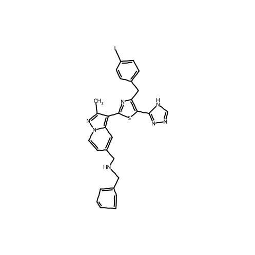 Cc1nn2ccc(CNCc3ccccc3)cc2c1-c1nc(Cc2ccc(I)cc2)c(-c2nnc[nH]2)s1